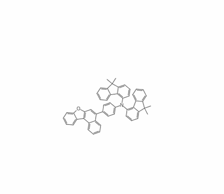 CC1(C)c2ccccc2-c2c(N(c3ccc(-c4cc5oc6ccccc6c5c5ccccc45)cc3)c3cccc4c3-c3ccccc3C4(C)C)cccc21